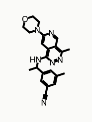 Cc1cc(C#N)cc(C(C)Nc2nnc(C)c3cnc(N4CCOCC4)cc23)c1